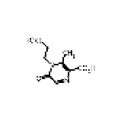 CCCCCCCCCCn1c(C)c(C(=O)O)ncc1=O